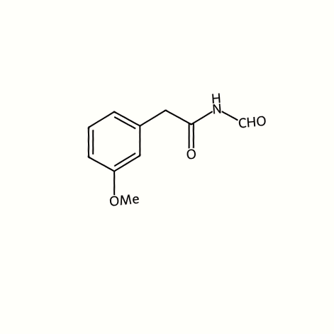 COc1cccc(CC(=O)NC=O)c1